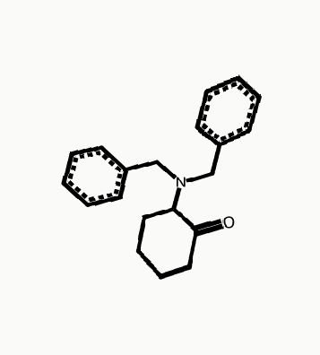 O=C1CCCCC1N(Cc1ccccc1)Cc1ccccc1